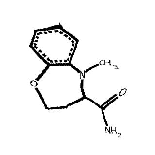 CN1c2c[c]ccc2OCCC1C(N)=O